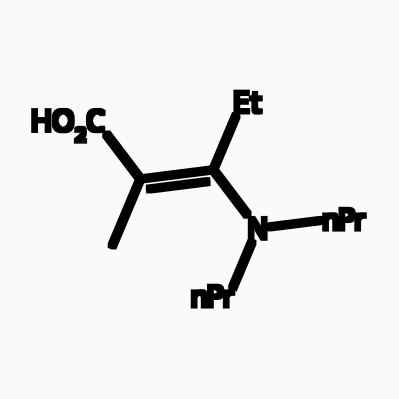 CCCN(CCC)C(CC)=C(C)C(=O)O